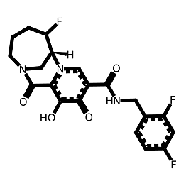 O=C(NCc1ccc(F)cc1F)c1cn2c(c(O)c1=O)C(=O)N1CCCC(F)[C@H]2C1